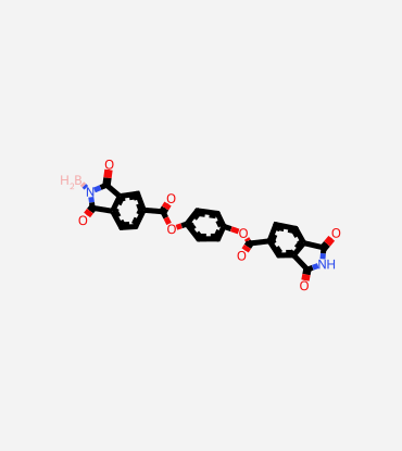 BN1C(=O)c2ccc(C(=O)Oc3ccc(OC(=O)c4ccc5c(c4)C(=O)NC5=O)cc3)cc2C1=O